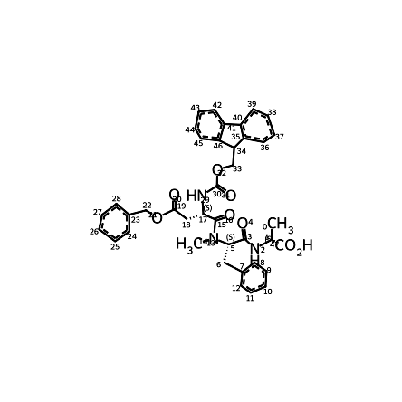 C[C@H](NC(=O)[C@H](Cc1ccccc1)N(C)C(=O)[C@H](CC(=O)OCc1ccccc1)NC(=O)OCC1c2ccccc2-c2ccccc21)C(=O)O